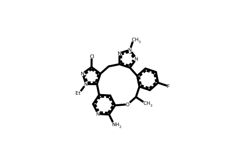 CCn1nc(Cl)c2c1-c1cnc(N)c(c1)OC(C)c1cc(F)ccc1-c1nn(C)nc1C2